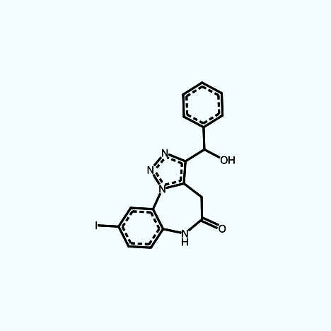 O=C1Cc2c(C(O)c3ccccc3)nnn2-c2cc(I)ccc2N1